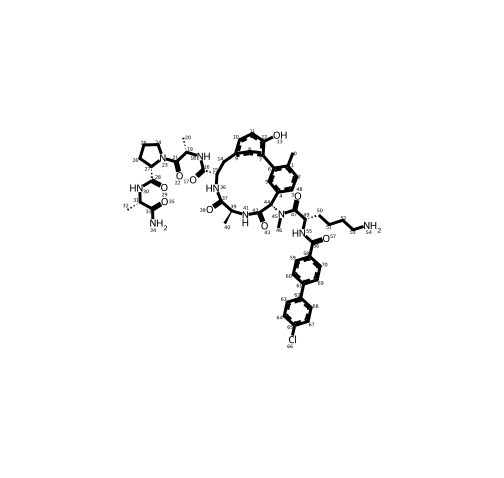 Cc1ccc2cc1-c1cc(ccc1O)C[C@@H](C(=O)N[C@@H](C)C(=O)N1CCC[C@H]1C(=O)N[C@@H](C)C(N)=O)NC(=O)[C@H](C)NC(=O)[C@H]2N(C)C(=O)[C@H](CCCCN)NC(=O)c1ccc(-c2ccc(Cl)cc2)cc1